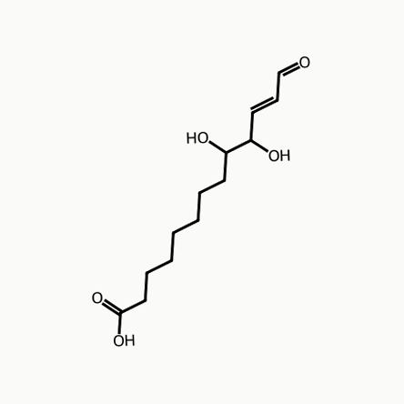 O=CC=CC(O)C(O)CCCCCCCC(=O)O